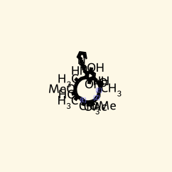 COC1/C=C\C=C(/C)C(=O)Nc2cc(O)c(NCCN3CCCC3)c(c2O)CC(C)CC(OC)C(O)C(C)/C=C(\C)C1OC(C)=O